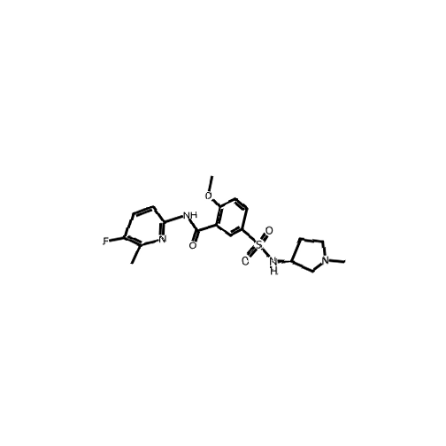 COc1ccc(S(=O)(=O)N[C@H]2CCN(C)C2)cc1C(=O)Nc1ccc(F)c(C)n1